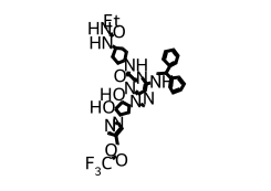 CCNC(=O)NC1CCC(NC(=O)c2nc(NCC(c3ccccc3)c3ccccc3)c3ncn([C@@H]4C[C@H](n5cc(COC(=O)C(F)(F)F)cn5)C(O)C4O)c3n2)CC1